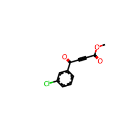 COC(=O)C#CC(=O)c1cccc(Cl)c1